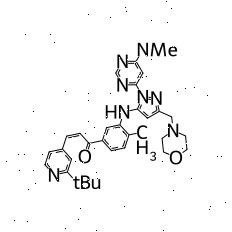 CNc1cc(-n2nc(CN3CCOCC3)cc2Nc2cc(C(=O)/C=C\c3ccnc(C(C)(C)C)c3)ccc2C)ncn1